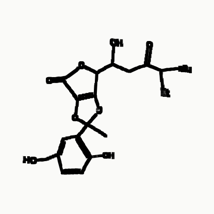 CCCCC(CC)C(=O)CC(O)C1OC(=O)C2=C1OC(C)(c1cc(O)ccc1O)O2